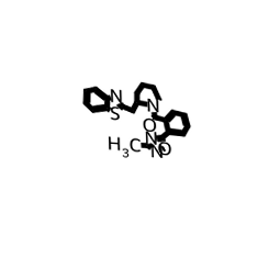 Cc1noc(-c2ccccc2C(=O)N2CCCCC2Cc2nc3ccccc3s2)n1